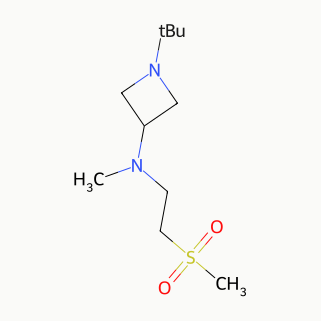 CN(CCS(C)(=O)=O)C1CN(C(C)(C)C)C1